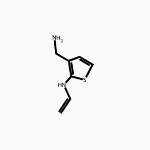 C=CNc1sccc1CN